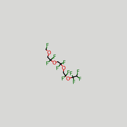 FCOCC(F)(F)OCC(F)(F)OCC(F)(F)OC(F)(F)C(F)F